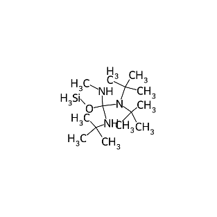 CNC(NC(C)(C)C)(O[SiH3])N(C(C)(C)C)C(C)(C)C